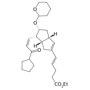 CCOC(=O)CCC=CC1=C[C@H]2C[C@@H](OC3CCCCO3)[C@@H](/C=C\C(=O)C3CCCC3)[C@H]2C1